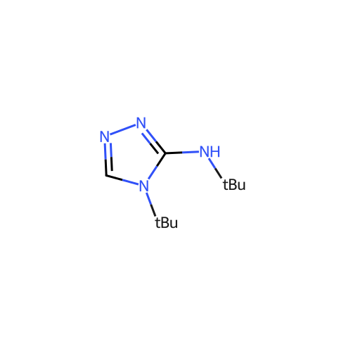 CC(C)(C)Nc1nncn1C(C)(C)C